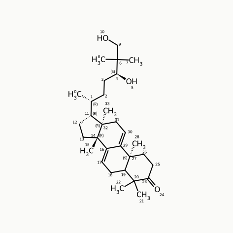 C[C@H](CC[C@H](O)C(C)(C)CO)[C@H]1CC[C@@]2(C)C3=CCC4C(C)(C)C(=O)CC[C@]4(C)C3=CC[C@]12C